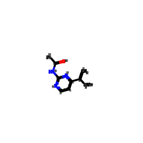 C=C(OC)c1ccnc(NC(=O)C(C)C)n1